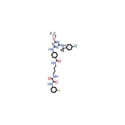 O=C(NCCCCNC(=O)c1ccc(Nc2nc(NC3(c4ccc(Cl)cc4)CC3)nc(OCC(F)(F)F)n2)cc1)C(=O)Nc1cccc(F)c1